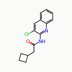 O=C(CC1CCC1)Nc1nc2ccccc2cc1Cl